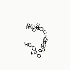 CC/C(=C(\c1ccc(O)cc1)c1ccc(OC2CCC(N3CCN(CCOc4ccc5c(c4)CN(C4CCC(=O)NC4=O)C5=O)CC3)CN2C)cc1)c1ccccc1